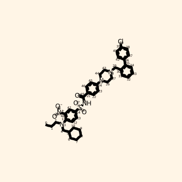 CCCN(CC1CCCCC1)c1ccc(S(=O)(=O)NC(=O)c2ccc(N3CCN(Cc4ccccc4-c4ccc(Cl)cc4)CC3)cc2)cc1[N+](=O)[O-]